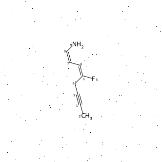 CC#CC/C(F)=C\C=C/N